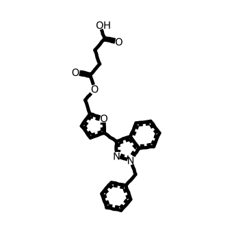 O=C(O)CCC(=O)OCc1ccc(-c2nn(Cc3ccccc3)c3ccccc23)o1